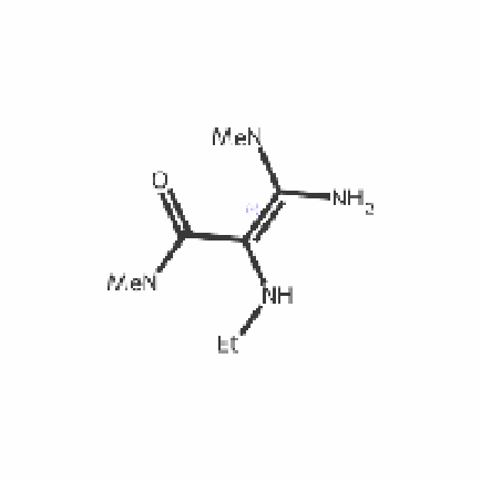 CCN/C(C(=O)NC)=C(\N)NC